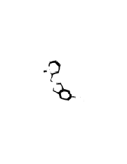 CN1CC=CC=C1CN1Cc2ccc(C(F)(F)F)cc2C1